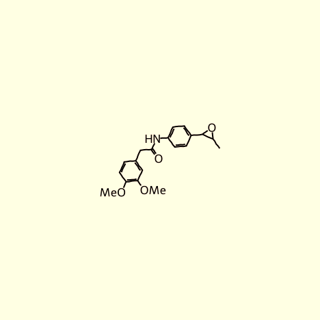 COc1ccc(CC(=O)Nc2ccc(C3OC3C)cc2)cc1OC